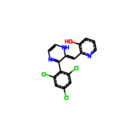 Oc1cccnc1C=C1NC=CN=C1c1c(Cl)cc(Cl)cc1Cl